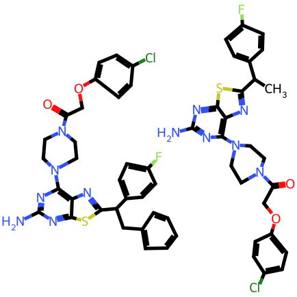 CC(c1ccc(F)cc1)c1nc2c(N3CCN(C(=O)COc4ccc(Cl)cc4)CC3)nc(N)nc2s1.Nc1nc(N2CCN(C(=O)COc3ccc(Cl)cc3)CC2)c2nc(C(Cc3ccccc3)c3ccc(F)cc3)sc2n1